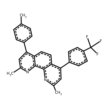 Cc1ccc(-c2cc(C)nc3c2ccc2c(-c4ccc(C(F)(F)F)cc4)cc(C)nc23)cc1